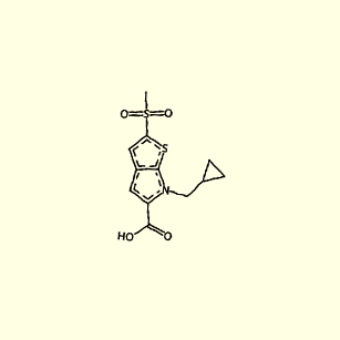 CS(=O)(=O)c1cc2cc(C(=O)O)n(CC3CC3)c2s1